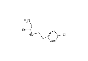 CCC(CN)NCCC1=CCC(Cl)C=C1